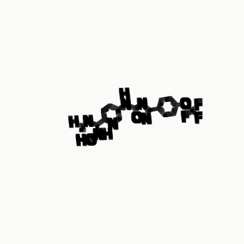 NC(NO)c1ccc(Nc2nc(-c3ccc(OC(F)(F)F)cc3)no2)cn1